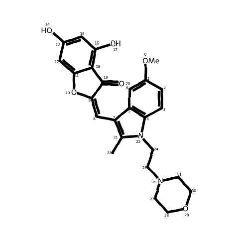 COc1ccc2c(c1)c(C=C1Oc3cc(O)cc(O)c3C1=O)c(C)n2CCN1CCOCC1